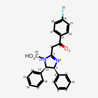 O=C(CC1=N[C@@H](c2ccccc2)[C@@H](c2ccccc2)N1C(=O)O)c1ccc(F)cc1